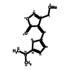 COCC1=NOC(=O)/C1=C\c1ccc(N(C)C)s1